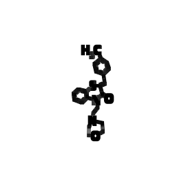 Cc1ccc(/C=C2\Sc3ccccc3N(CCN3CCOCC3)C2=O)cc1